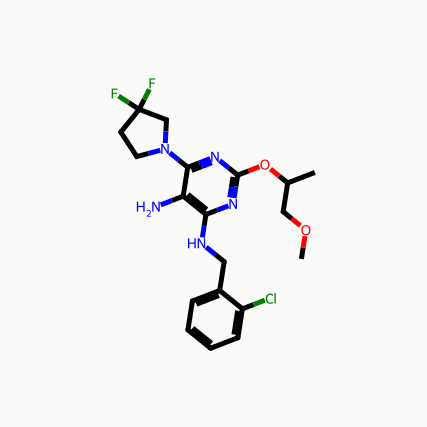 COCC(C)Oc1nc(NCc2ccccc2Cl)c(N)c(N2CCC(F)(F)C2)n1